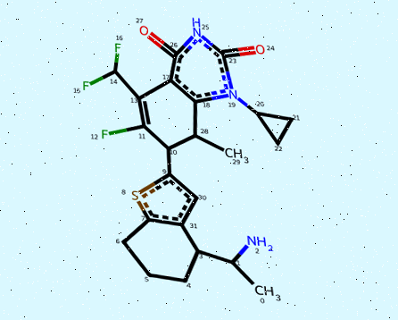 CC(N)C1CCCc2sc(C3C(F)=C(C(F)F)c4c(n(C5CC5)c(=O)[nH]c4=O)C3C)cc21